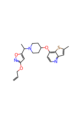 C=CCOc1cc(C(C)N2CCC(Oc3ccnc4cc(C)sc34)CC2)on1